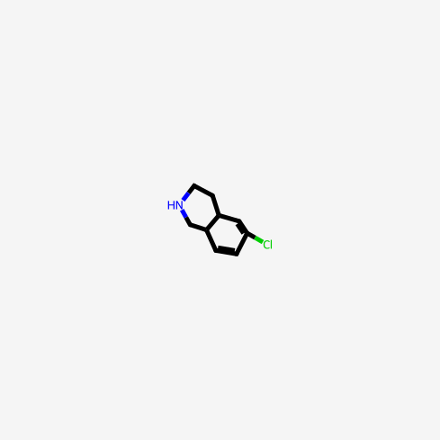 ClC1=CC2CCNCC2C=C1